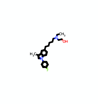 CCN(CCO)CCCCCc1ccc2c(c1)c(C)cn2-c1ccc(F)cc1